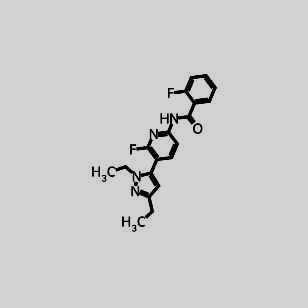 CCc1cc(-c2ccc(NC(=O)c3ccccc3F)nc2F)n(CC)n1